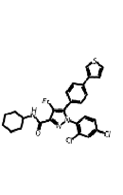 CCc1c(C(=O)NC2CCCCC2)nn(-c2ccc(Cl)cc2Cl)c1-c1ccc(-c2ccsc2)cc1